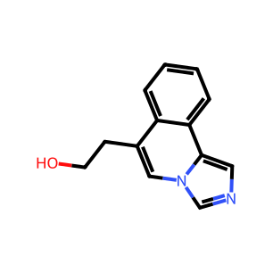 OCCc1cn2cncc2c2ccccc12